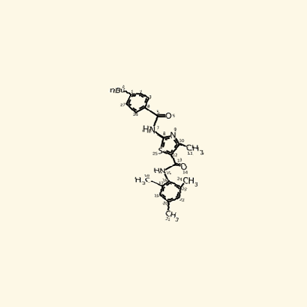 CCCCc1ccc(C(=O)Nc2nc(C)c(C(=O)Nc3c(C)cc(C)cc3C)s2)cc1